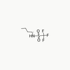 CCC[CH]NS(=O)(=O)C(F)(F)F